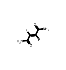 NC(=O)C(F)=C(F)C(N)=O